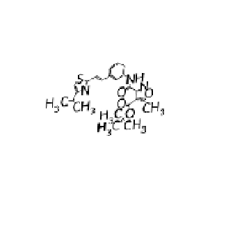 Cc1onc(C(=O)Nc2cccc(C=Cc3nc(C(C)C)cs3)c2)c1C(=O)OC(C)(C)C